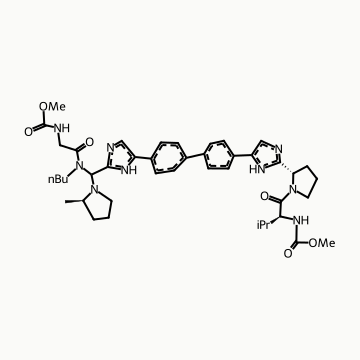 CCCCN(C(=O)CNC(=O)OC)C(c1ncc(-c2ccc(-c3ccc(-c4cnc([C@@H]5CCCN5C(=O)[C@@H](NC(=O)OC)C(C)C)[nH]4)cc3)cc2)[nH]1)N1CCC[C@H]1C